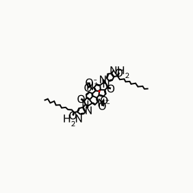 CCCCCCCCCCC(=O)c1cc2c(cc1N)nc1c3cc([N+](=O)[O-])c4c5ccc6c(=O)n7c8cc(C(=O)CCCCCCCCCC)c(N)cc8nc7c7cc([N+](=O)[O-])c(c8ccc(c(=O)n21)c3c84)c5c67